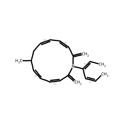 C=C1/C=C\C=C/CC(C)/C=C\C=C/C(=C)N1C(/C=C\C)=C/C